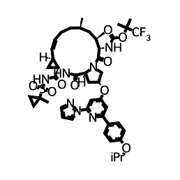 CC(C)Oc1ccc(-c2cc(O[C@@H]3C[C@H]4C(=O)N[C@]5(C(=O)NS(=O)(=O)C6(C)CC6)C[C@H]5/C=C\CC[C@@H](C)C[C@@H](C)[C@H](NC(=O)OC(C)(C)C(F)(F)F)C(=O)N4C3)cc(-n3cccn3)n2)cc1